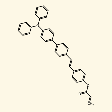 C=CC(=O)Oc1ccc(C=Cc2ccc(-c3ccc(N(c4ccccc4)c4ccccc4)cc3)cc2)cc1